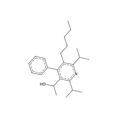 CCCCCc1c(C(C)C)nc(C(C)C)c(C(C)O)c1-c1ccccc1